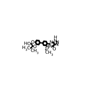 CCOc1cc(-c2cccc(OC(C(=O)O)C(C)C)c2)ccc1-c1nc2[nH]nnc2c(=O)[nH]1